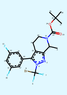 CC1c2nn(C(F)(F)Br)c(-c3cc(F)cc(F)c3)c2CCN1C(=O)OC(C)(C)C